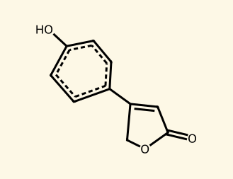 O=C1C=C(c2ccc(O)cc2)CO1